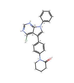 O=C1CCCCN1c1ccc(-c2cn(-c3ccccc3)c3ncnc(Cl)c23)cc1